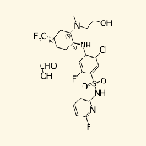 CN(CCO)[C@H]1C[C@@H](C(F)(F)F)CC[C@@H]1Nc1cc(F)c(S(=O)(=O)Nc2cccc(F)n2)cc1Cl.O=CO